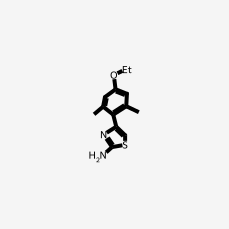 CCOc1cc(C)c(-c2csc(N)n2)c(C)c1